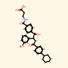 O=C(O)CCNC(=O)c1ccc(C(=O)C(CC(=O)c2ccc(C3CCCCC3)cc2)c2cccc(Br)c2)cc1